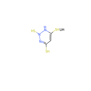 SC1=CC(S)=NN(S)N1.[LiH]